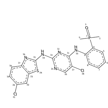 CP(C)(=O)c1ccccc1Nc1nc(Nc2nc3ccc(Cl)cc3s2)ncc1Cl